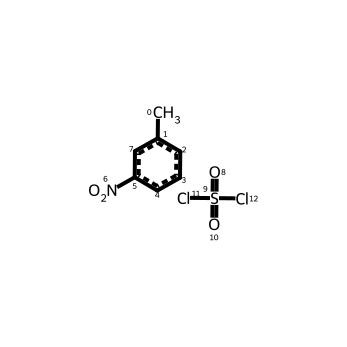 Cc1cccc([N+](=O)[O-])c1.O=S(=O)(Cl)Cl